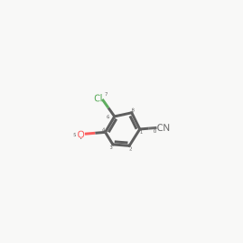 N#Cc1ccc([O])c(Cl)c1